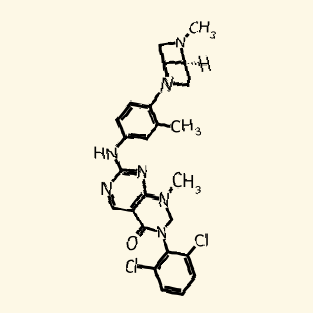 Cc1cc(Nc2ncc3c(n2)N(C)CN(c2c(Cl)cccc2Cl)C3=O)ccc1N1C[C@H]2C1CN2C